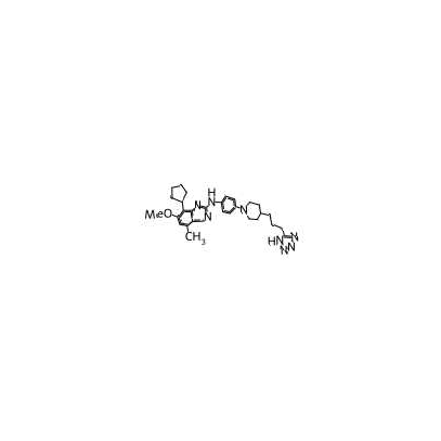 COc1cc(C)c2cnc(Nc3ccc(N4CCC(CCCc5nnn[nH]5)CC4)cc3)nc2c1C1CCCC1